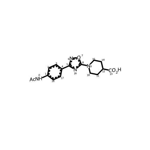 CC(=O)Nc1ccc(-c2noc(N3CCC(C(=O)O)CC3)n2)cc1